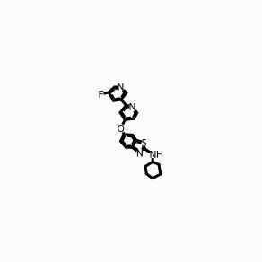 Fc1cncc(-c2cc(Oc3ccc4nc(NC5CCCCC5)sc4c3)ccn2)c1